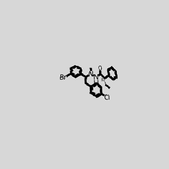 CC[C@H](C(=O)NN(C)C(Cc1ccc(Cl)cc1)c1cccc(Br)c1)c1ccccc1